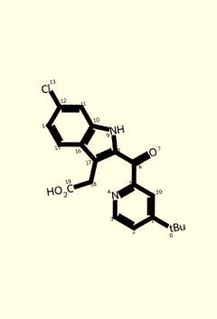 CC(C)(C)c1ccnc(C(=O)c2[nH]c3cc(Cl)ccc3c2CC(=O)O)c1